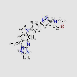 Cc1nc2nc(C)c(C[C@H]3CCN(c4ccc(-c5ccc(CN6CCOCC6)nn5)cc4)C3)c(C)n2n1